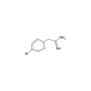 N=C(N)Cc1ccc(Br)cc1